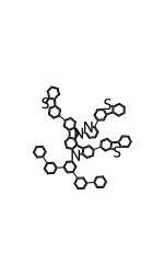 c1ccc(-c2cccc(-c3cc(-c4cccc(-c5ccccc5)c4)cc(-n4c5ccc(-c6ccc7c(c6)sc6ccccc67)cc5c5c4ccc4c6cc(-c7ccc8sc9ccccc9c8c7)ccc6n(-c6cccc(-c7ccc8sc9ccccc9c8c7)n6)c45)c3)c2)cc1